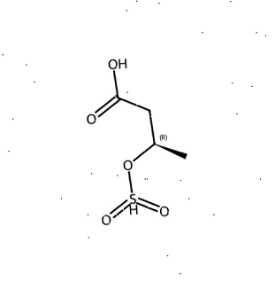 C[C@H](CC(=O)O)O[SH](=O)=O